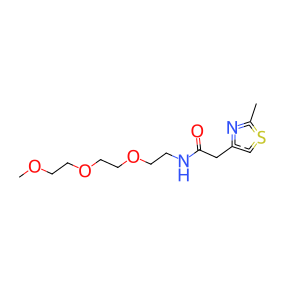 COCCOCCOCCNC(=O)Cc1csc(C)n1